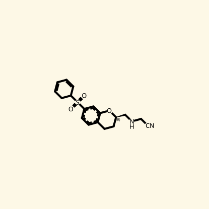 N#CCNC[C@H]1CCc2ccc(S(=O)(=O)C3C=CC=CC3)cc2O1